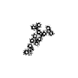 c1ccc([Si](c2ccccc2)(c2cccc(-c3ccc4c(c3)nc3n4-c4ccccc4OC3)c2)c2cccc(-n3c4ccc(-n5c6ccccc6c6ccccc65)cc4c4cc(-n5c6ccccc6c6ccccc65)ccc43)c2)cc1